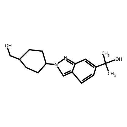 CC(C)(O)c1ccc2cn(C3CCC(CO)CC3)nc2c1